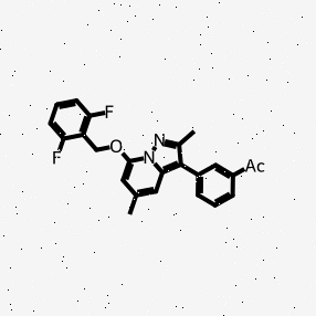 CC(=O)c1cccc(-c2c(C)nn3c(OCc4c(F)cccc4F)cc(C)cc23)c1